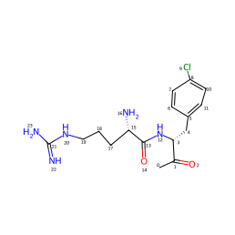 CC(=O)[C@@H](Cc1ccc(Cl)cc1)NC(=O)[C@@H](N)CCCNC(=N)N